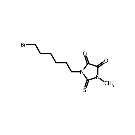 CN1C(=O)C(=O)N(CCCCCCBr)C1=S